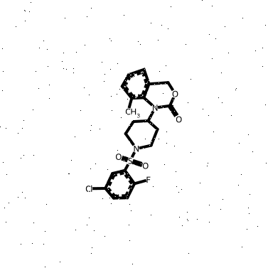 Cc1cccc2c1N(C1CCN(S(=O)(=O)c3cc(Cl)ccc3F)CC1)C(=O)OC2